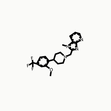 COc1cc(C(F)(F)F)ccc1C1CCN(Cc2nc3ncccc3n2C)CC1